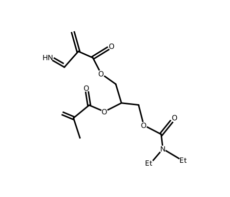 C=C(C)C(=O)OC(COC(=O)C(=C)C=N)COC(=O)N(CC)CC